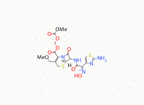 COCC1=C(C(=O)OCOC(=O)OC)N2C(=O)C(NC(=O)/C(=N\O)c3csc(N)n3)[C@H]2SC1